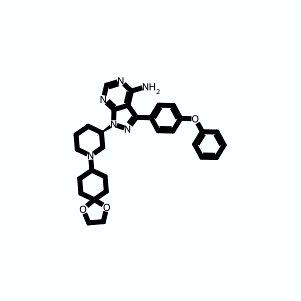 Nc1ncnc2c1c(-c1ccc(Oc3ccccc3)cc1)nn2[C@@H]1CCCN(C2CCC3(CC2)OCCO3)C1